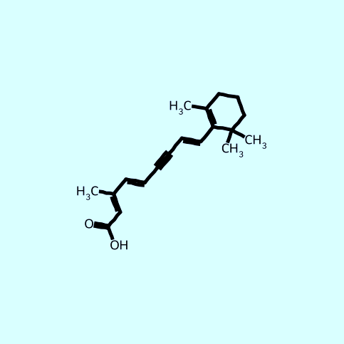 CC(C=CC#CC=CC1=C(C)CCCC1(C)C)=CC(=O)O